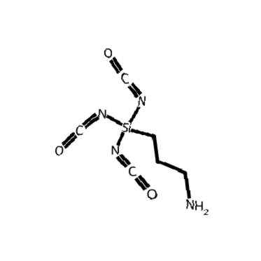 NCCC[Si](N=C=O)(N=C=O)N=C=O